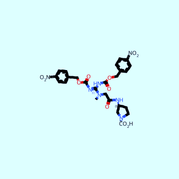 CN(CC(=O)N[C@H]1CCN(C(=O)O)C1)/C(=N/C(=O)OCc1ccc([N+](=O)[O-])cc1)NC(=O)OCc1ccc([N+](=O)[O-])cc1